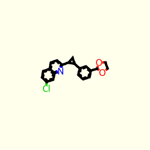 Clc1ccc2ccc(C3CC3c3cccc(C4OCCO4)c3)nc2c1